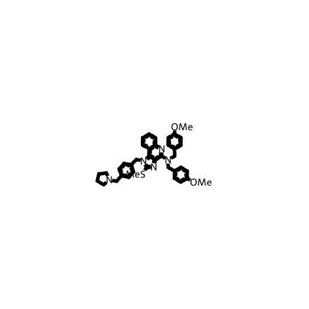 COc1ccc(CN(Cc2ccc(OC)cc2)c2nc3ccccc3c3c2nc(SC)n3Cc2ccc(CN3CCCC3)cc2)cc1